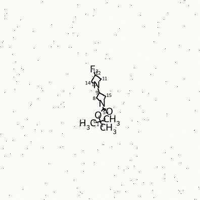 CC(C)(C)OC(=O)N1CC(N2CC(F)C2)C1